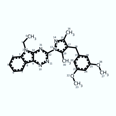 CCn1c2ccccc2c2nnc(-n3nc(C)c(Cc4cc(OC)cc(OC)c4)c3C)nc21